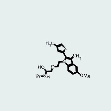 COc1ccc2c(c1)c(C)c(-c1cc(C)cs1)n2CCOCC(O)NC(C)C